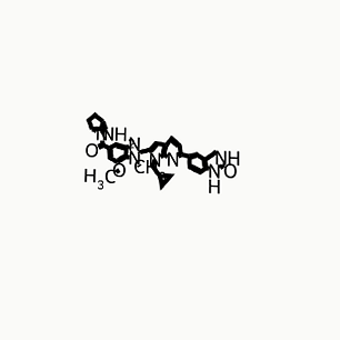 COc1cc(C(=O)N2CC3CCC2C3N)cc2nc(-c3cc4ccc(-c5ccc6c(c5)CNC(=O)N6)nc4n3CC3CC3)n(C)c12